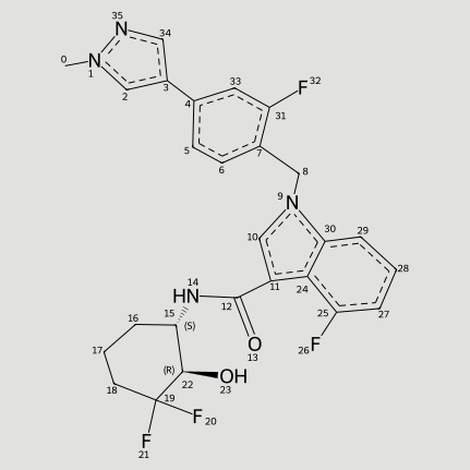 Cn1cc(-c2ccc(Cn3cc(C(=O)N[C@H]4CCCC(F)(F)[C@@H]4O)c4c(F)cccc43)c(F)c2)cn1